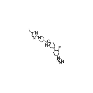 CCc1cnc(N2CCC(c3nc4cc(-c5ccc(-n6cnnn6)cc5F)ccc4o3)CC2)nc1